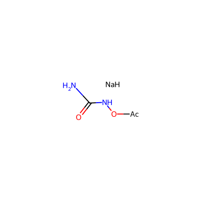 CC(=O)ONC(N)=O.[NaH]